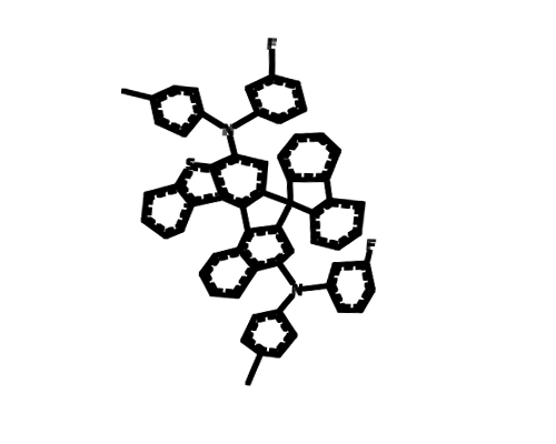 Cc1ccc(N(c2cccc(F)c2)c2cc3c(c4ccccc24)-c2c(cc(N(c4ccc(C)cc4)c4cccc(F)c4)c4sc5ccccc5c24)C32c3ccccc3-c3ccccc32)cc1